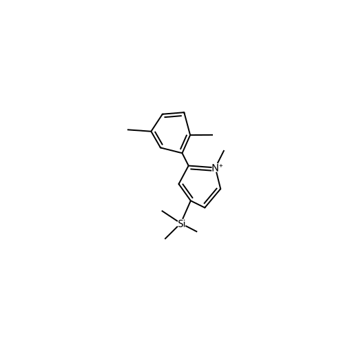 Cc1ccc(C)c(-c2cc([Si](C)(C)C)cc[n+]2C)c1